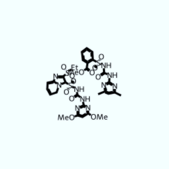 CCS(=O)(=O)C1=NC2=CC=CCN2C1S(=O)(=O)NC(=O)Nc1nc(OC)cc(OC)n1.COC(=O)c1ccccc1S(=O)(=O)NC(=O)Nc1nc(C)cc(C)n1